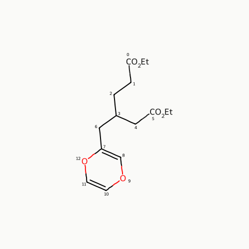 CCOC(=O)CCC(CC(=O)OCC)CC1=COC=CO1